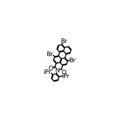 CC(C)c1cccc(C(C)C)c1N1C(=O)c2cc(Br)c3c4cccc5c(Br)ccc(c6c(Br)cc(c2c36)C1=O)c54